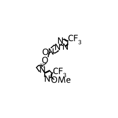 COc1ncc(N2CCC[C@H]2COCC(=O)N2CCN(c3ncc(C(F)(F)F)cn3)CC2)cc1C(F)(F)F